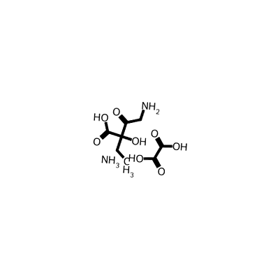 CCC(O)(C(=O)O)C(=O)CN.N.O=C(O)C(=O)O